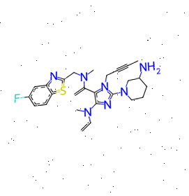 C=CN(C)c1nc(N2CCCC(N)C2)n(CC#CC)c1C(=C)N(C)Cc1nc2cc(F)ccc2s1